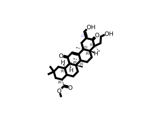 COC(=O)[C@@H]1CC(C)(C)C[C@@H]2C1CC[C@]1(C)[C@@H]2C(=O)C=C2[C@@]3(C)C/C(=C/O)C(=O)[C@@](C)(CCO)[C@@H]3CC[C@]21C